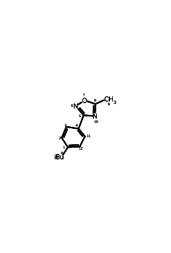 [CH2]CC(C)c1ccc(-c2noc(C)n2)cc1